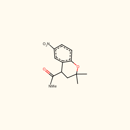 CNC(=O)C1CC(C)(C)Oc2ccc([N+](=O)[O-])cc21